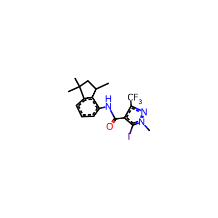 CC1CC(C)(C)c2cccc(NC(=O)c3c(C(F)(F)F)nn(C)c3I)c21